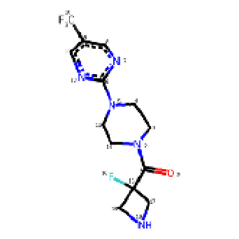 O=C(N1CCN(c2ncc(C(F)(F)F)cn2)CC1)C1(F)CNC1